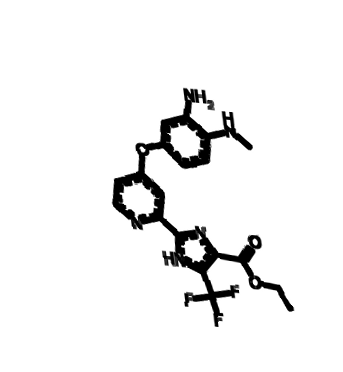 CCOC(=O)c1nc(-c2cc(Oc3ccc(NC)c(N)c3)ccn2)[nH]c1C(F)(F)F